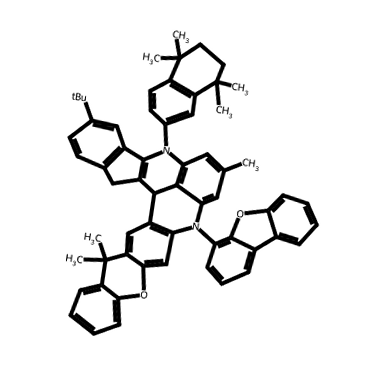 Cc1cc2c3c(c1)N(c1cccc4c1oc1ccccc14)c1cc4c(cc1C3C1=C(c3cc(C(C)(C)C)ccc3C1)N2c1ccc2c(c1)C(C)(C)CCC2(C)C)C(C)(C)c1ccccc1O4